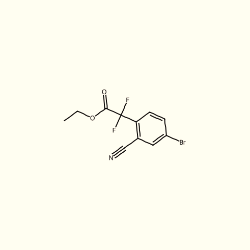 CCOC(=O)C(F)(F)c1ccc(Br)cc1C#N